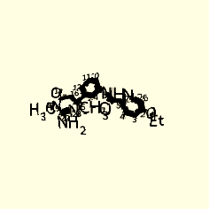 CCOc1ccc(C(=O)Nc2cccc(C3(C)CC(=O)N(C)C(N)=N3)c2)nc1